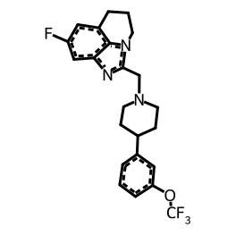 Fc1cc2c3c(c1)nc(CN1CCC(c4cccc(OC(F)(F)F)c4)CC1)n3CCC2